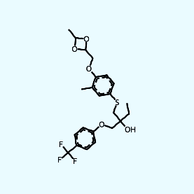 CCC(O)(COc1ccc(C(F)(F)F)cc1)CSc1ccc(OCC2OC(C)O2)c(C)c1